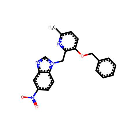 Cc1ccc(OCc2ccccc2)c(Cn2cnc3cc([N+](=O)[O-])ccc32)n1